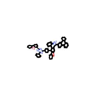 c1ccc(-c2nc(-c3ccc(-c4c5c(cc6c(-c7ccc8c9ccccc9c9ccccc9c8c7)nc7ccccc7c46)oc4ccccc45)cc3)nc(-c3cccc4c3oc3ccccc34)n2)cc1